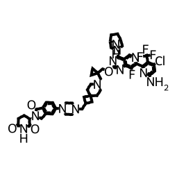 Nc1cc(Cl)c(C(F)(F)F)c(-c2ncc3c(N4CC5CCC(C4)N5)nc(OCC4(CN5CCC6(CC5)CC(CN5CCN(c7ccc8c(c7)CN([C@H]7CCC(=O)NC7=O)C8=O)CC5)C6)CC4)nc3c2F)n1